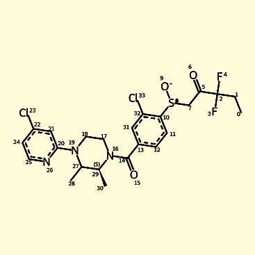 CCC(F)(F)C(=O)C[S+]([O-])c1ccc(C(=O)N2CCN(c3cc(Cl)ccn3)C(C)[C@@H]2C)cc1Cl